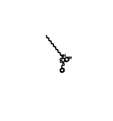 CCCCCCCCCCCCCCNC(=O)C1CNCCN1C(=O)OCc1ccccc1